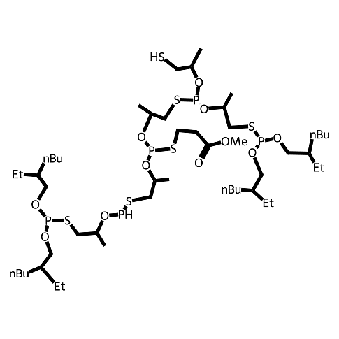 CCCCC(CC)COP(OCC(CC)CCCC)SCC(C)OPSCC(C)OP(OC(C)CSP(OC(C)CS)OC(C)CSP(OCC(CC)CCCC)OCC(CC)CCCC)SCCC(=O)OC